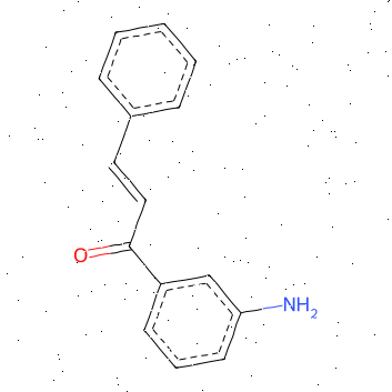 Nc1cccc(C(=O)C=Cc2ccccc2)c1